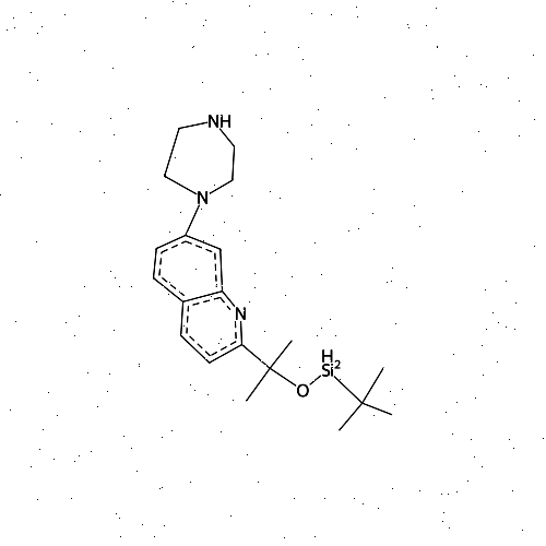 CC(C)(C)[SiH2]OC(C)(C)c1ccc2ccc(N3CCNCC3)cc2n1